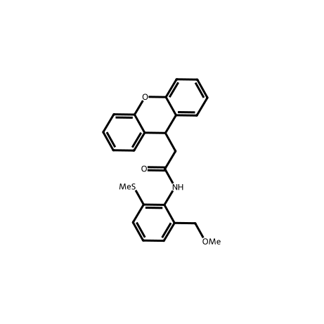 COCc1cccc(SC)c1NC(=O)CC1c2ccccc2Oc2ccccc21